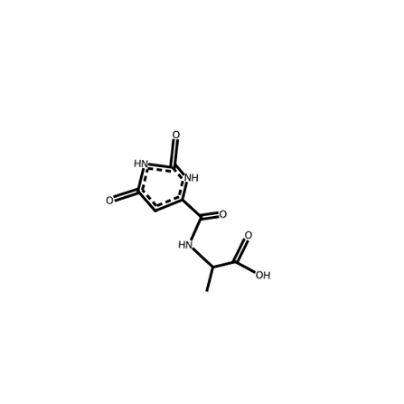 CC(NC(=O)c1cc(=O)[nH]c(=O)[nH]1)C(=O)O